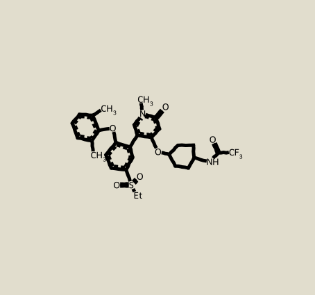 CCS(=O)(=O)c1ccc(Oc2c(C)cccc2C)c(-c2cn(C)c(=O)cc2OC2CCC(NC(=O)C(F)(F)F)CC2)c1